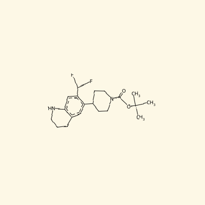 CC(C)(C)OC(=O)N1CCC(c2cc3c(cc2C(F)F)NCCC3)CC1